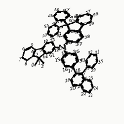 CC1(C)C2=C(C=CCC2)c2ccc(N(c3ccc(-c4ccc5ccccc5c4-c4ccccc4)cc3)c3ccc4c(c3)C(c3ccccc3)(c3ccccc3)c3ccccc3-4)cc21